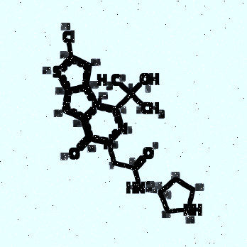 CC(C)(O)c1nn(CC(=O)N[C@@H]2CCNC2)c(=O)c2cc3sc(Cl)cc3n12